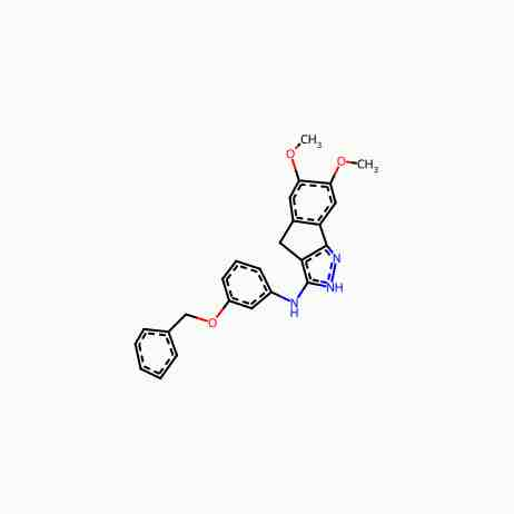 COc1cc2c(cc1OC)-c1n[nH]c(Nc3cccc(OCc4ccccc4)c3)c1C2